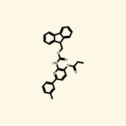 CCC(=O)Oc1ccc(-c2cccc(C)c2)nc1NC(=O)OCC1c2ccccc2-c2ccccc21